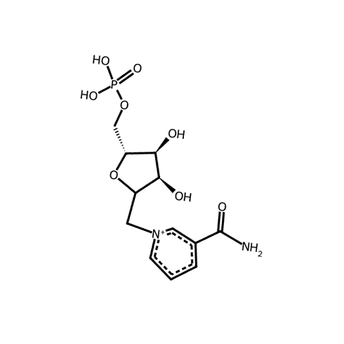 NC(=O)c1ccc[n+](CC2O[C@H](COP(=O)(O)O)[C@@H](O)[C@H]2O)c1